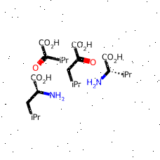 CC(C)C(=O)C(=O)O.CC(C)CC(=O)C(=O)O.CC(C)C[C@H](N)C(=O)O.CC(C)[C@H](N)C(=O)O